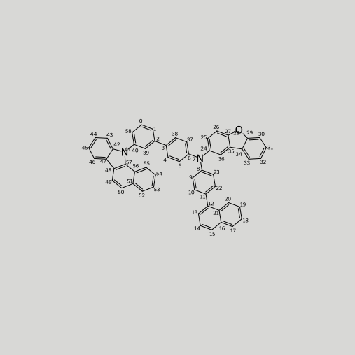 c1cc(-c2ccc(N(c3ccc(-c4cccc5ccccc45)cc3)c3ccc4oc5ccccc5c4c3)cc2)cc(-n2c3ccccc3c3ccc4ccccc4c32)c1